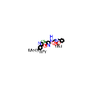 CCCc1cc2c(Oc3ncc(NC(=O)CN(Cc4ccccc4)C(=O)OC(C)(C)C)cc3Cl)ccnc2cc1OC